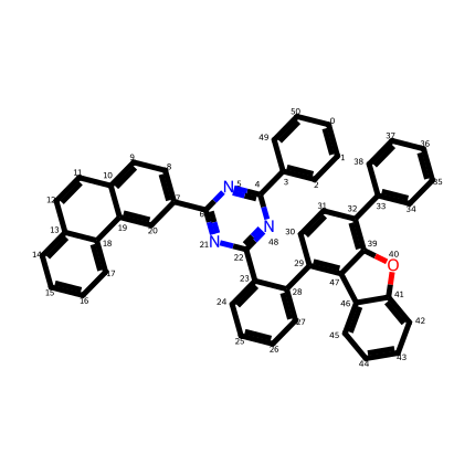 c1ccc(-c2nc(-c3ccc4ccc5ccccc5c4c3)nc(-c3ccccc3-c3ccc(-c4ccccc4)c4oc5ccccc5c34)n2)cc1